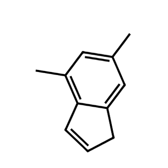 Cc1cc(C)c2c(c1)CC=C2